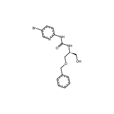 O=C(Nc1ccc(Br)cn1)N[C@@H](CO)COCc1ccccc1